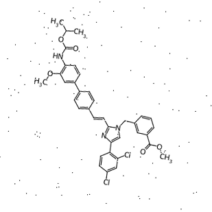 COC(=O)c1cccc(Cn2cc(-c3ccc(Cl)cc3Cl)nc2/C=C/c2ccc(-c3ccc(NC(=O)OC(C)C)c(OC)c3)cc2)c1